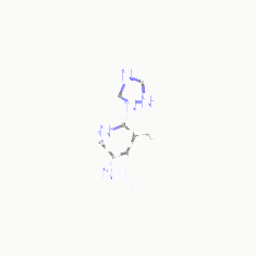 Nc1cnc(-n2cncn2)c(Cl)c1